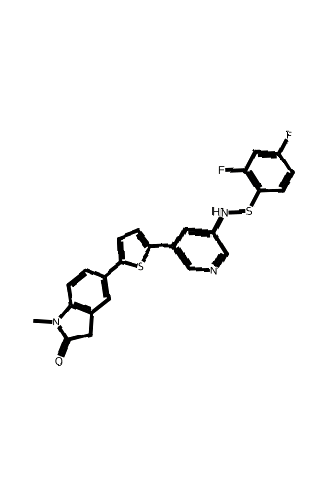 CN1C(=O)Cc2cc(-c3ccc(-c4cncc(NSc5ccc(F)cc5F)c4)s3)ccc21